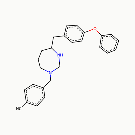 N#Cc1ccc(CN2CCCC(Cc3ccc(Oc4ccccc4)cc3)NC2)cc1